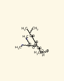 CC/C=C\CCCCOC(CCC(=O)OCC(COC(=O)CCCCCC(=O)OCCC(CCCCC)CCCCC)COC(=O)CCC(C)OC(=O)NCCN1CCCC1)OCCCC/C=C\CC